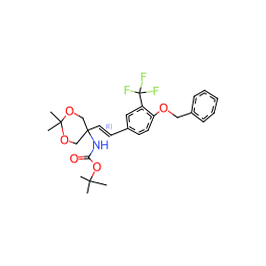 CC(C)(C)OC(=O)NC1(/C=C/c2ccc(OCc3ccccc3)c(C(F)(F)F)c2)COC(C)(C)OC1